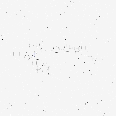 CC1(C)[C@H](NC(=O)/C(=N\O[C@@H](COc2ccc(-c3ccc(NC(=O)[C@@H](N)CCCCN)nc3)cc2)C(=O)O)c2csc(N)n2)C(=O)N1O[SH](=O)=O